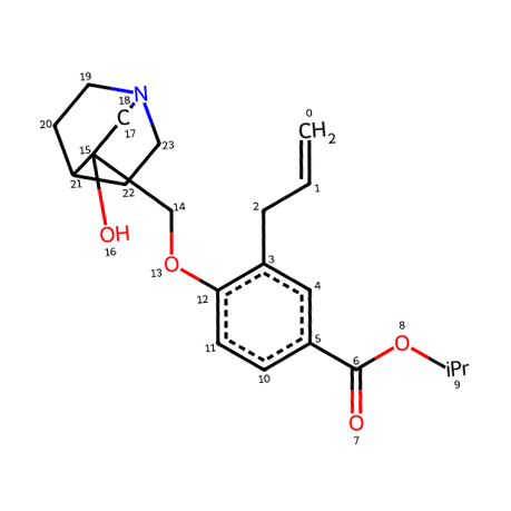 C=CCc1cc(C(=O)OC(C)C)ccc1OCC1(O)CN2CCC1CC2